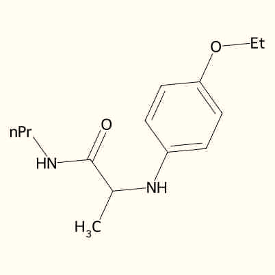 CCCNC(=O)C(C)Nc1ccc(OCC)cc1